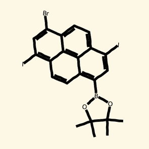 CC1(C)OB(c2cc(I)c3ccc4c(Br)cc(I)c5ccc2c3c45)OC1(C)C